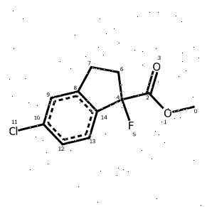 COC(=O)C1(F)CCc2cc(Cl)ccc21